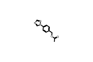 CC(=O)OCc1ccc(-n2cncn2)cc1